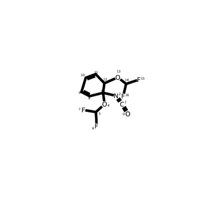 O=C=NC1(OC(F)F)C=CC=CC1OC(F)F